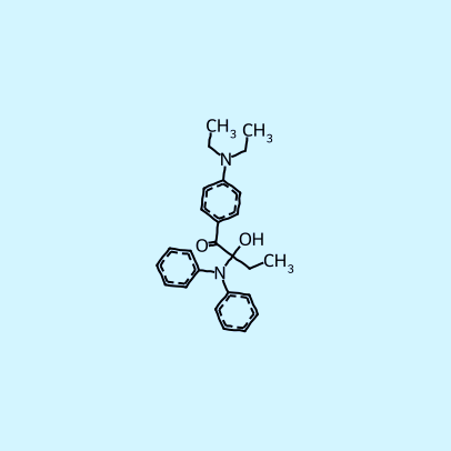 CCN(CC)c1ccc(C(=O)C(O)(CC)N(c2ccccc2)c2ccccc2)cc1